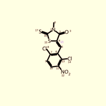 CN1C(=O)/C(=C/c2c(Cl)ccc([N+](=O)[O-])c2Cl)SC1=S